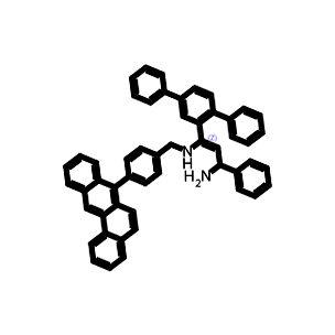 NC(/C=C(\NCc1ccc(-c2c3ccccc3cc3c2ccc2ccccc23)cc1)c1cc(-c2ccccc2)ccc1-c1ccccc1)c1ccccc1